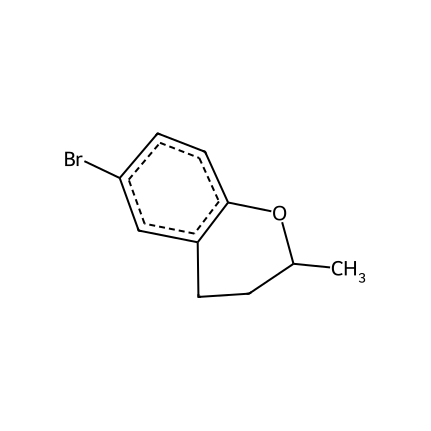 CC1CCc2cc(Br)ccc2O1